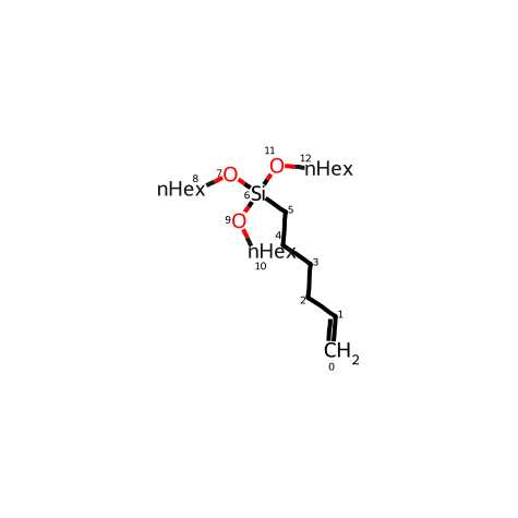 C=CCCCC[Si](OCCCCCC)(OCCCCCC)OCCCCCC